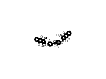 CC(C)(c1ccc(Oc2cc(N)c3c(c2O)C(=O)c2ccccc2C3=O)cc1)c1ccc(Oc2cc(N)c3c(c2O)C(=O)c2ccccc2C3=O)cc1